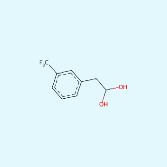 OC(O)Cc1cccc(C(F)(F)F)c1